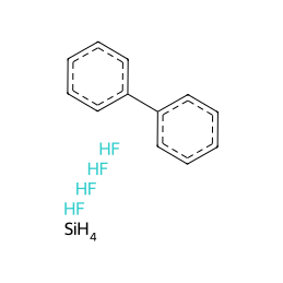 F.F.F.F.[SiH4].c1ccc(-c2ccccc2)cc1